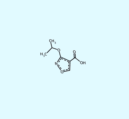 CC(C)Oc1nocc1C(=O)O